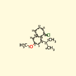 COc1cc(C(C)C)c2c(Cl)cccc2c1